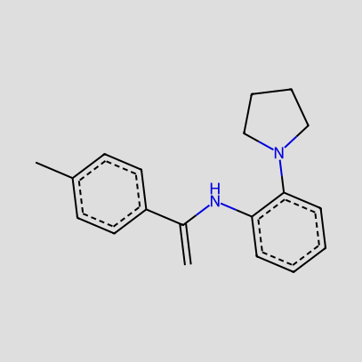 C=C(Nc1ccccc1N1CCCC1)c1ccc(C)cc1